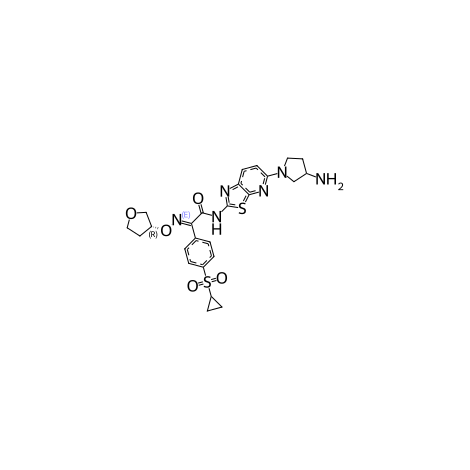 NC1CCN(c2ccc3nc(NC(=O)/C(=N/O[C@@H]4CCOC4)c4ccc(S(=O)(=O)C5CC5)cc4)sc3n2)C1